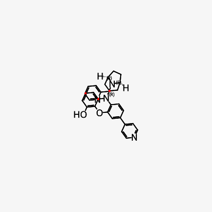 Oc1cccc2c1Oc1cc(-c3ccncc3)ccc1N2[C@H]1C[C@H]2CC[C@@H](C1)N2Cc1ccccn1